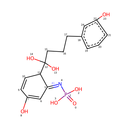 O=P(O)(O)/N=C1\C=C(O)C=CC1C(O)(O)CCCc1cccc(O)c1